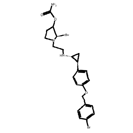 CC(C)(C)[C@@H]1C(OC(N)=O)CCN1CCN[C@@H]1C[C@H]1c1ccc(OCc2ccc(Br)cc2)cc1